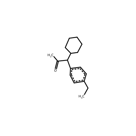 CCc1ccc(C(C(C)=O)C2CCCCC2)cc1